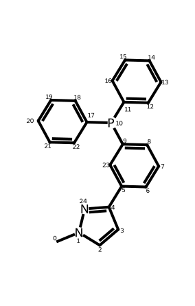 Cn1ccc(-c2cccc(P(c3ccccc3)c3ccccc3)c2)n1